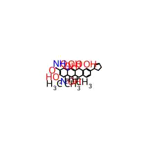 CC1c2ccc(C3C=CCC3)c(O)c2C(=O)C2=C(O)[C@]3(O)C(=O)C(C(N)=O)=C(O)[C@@H](N(C)C)[C@@H]3[C@@H](O)[C@@H]21